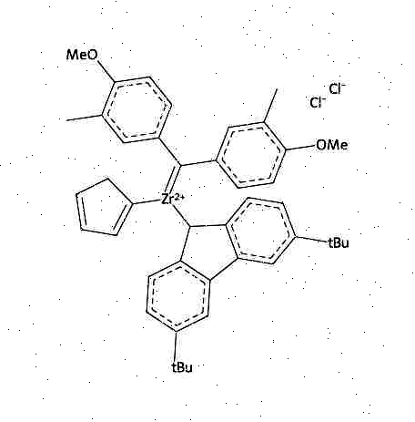 COc1ccc([C](c2ccc(OC)c(C)c2)=[Zr+2]([C]2=CC=CC2)[CH]2c3ccc(C(C)(C)C)cc3-c3cc(C(C)(C)C)ccc32)cc1C.[Cl-].[Cl-]